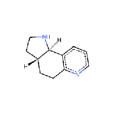 c1cnc2c(c1)[C@@H]1NCC[C@H]1CC2